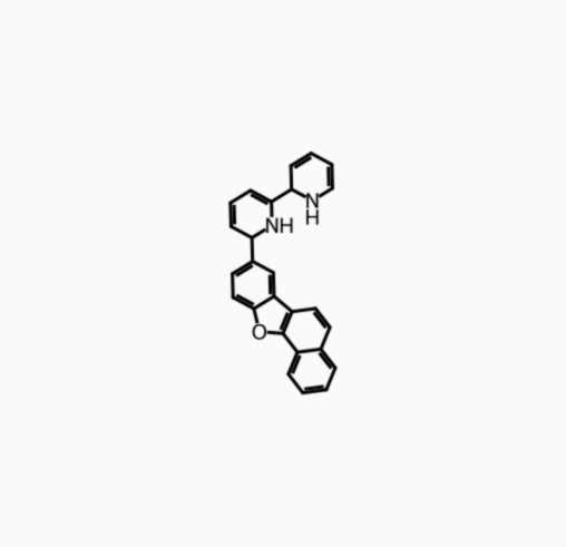 C1=CNC(C2=CC=CC(c3ccc4oc5c6ccccc6ccc5c4c3)N2)C=C1